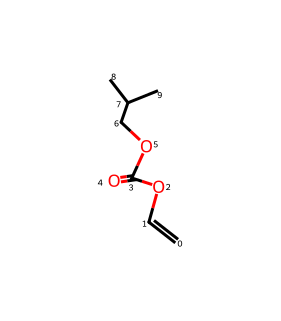 C=COC(=O)OCC(C)C